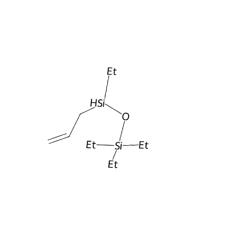 C=CC[SiH](CC)O[Si](CC)(CC)CC